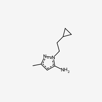 Cc1cc(N)n(CCC2CC2)n1